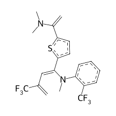 C=C(c1ccc(/C(=C/C(=C)C(F)(F)F)N(C)c2ccccc2C(F)(F)F)s1)N(C)C